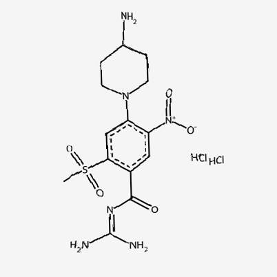 CS(=O)(=O)c1cc(N2CCC(N)CC2)c([N+](=O)[O-])cc1C(=O)N=C(N)N.Cl.Cl